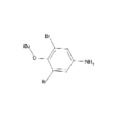 CCC(C)Oc1c(Br)cc(N)cc1Br